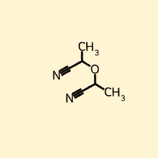 CC(C#N)OC(C)C#N